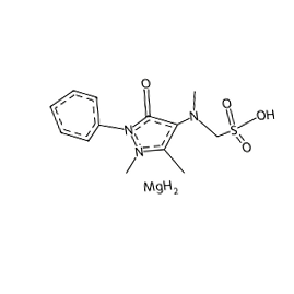 Cc1c(N(C)CS(=O)(=O)O)c(=O)n(-c2ccccc2)n1C.[MgH2]